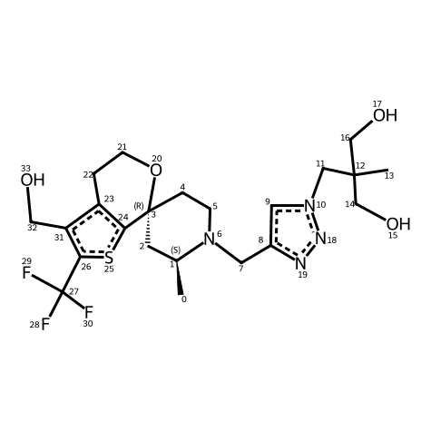 C[C@H]1C[C@@]2(CCN1Cc1cn(CC(C)(CO)CO)nn1)OCCc1c2sc(C(F)(F)F)c1CO